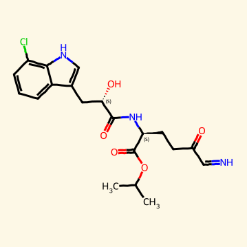 CC(C)OC(=O)[C@H](CCC(=O)C=N)NC(=O)[C@@H](O)Cc1c[nH]c2c(Cl)cccc12